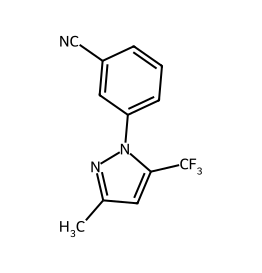 Cc1cc(C(F)(F)F)n(-c2cccc(C#N)c2)n1